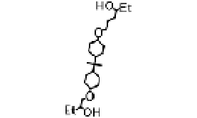 CCC(O)CCCOC1CCC(C(C)(C)C2CCC(OCC(O)CC)CC2)CC1